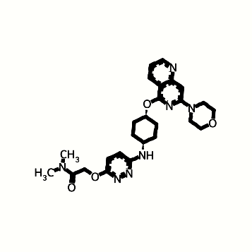 CN(C)C(=O)COc1ccc(N[C@H]2CC[C@@H](Oc3nc(N4CCOCC4)cc4ncccc34)CC2)nn1